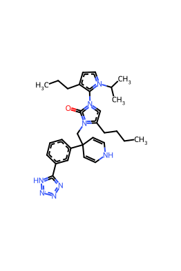 CCCCc1cn(-c2c(CCC)ccn2C(C)C)c(=O)n1CC1(c2cccc(-c3nnn[nH]3)c2)C=CNC=C1